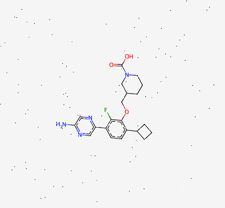 Nc1cnc(-c2ccc(C3CCC3)c(OCC3CCCN(C(=O)O)C3)c2F)cn1